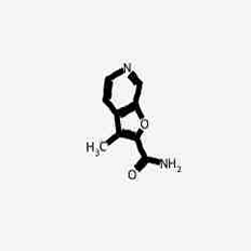 Cc1c(C(N)=O)oc2cnccc12